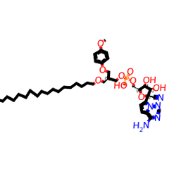 CCCCCCCCCCCCCCCCCCOC[C@@H](COc1ccc(OC)cc1)COP(=O)(O)OC[C@H]1O[C@@](C#N)(c2ccc3c(N)ncnn23)[C@H](O)[C@@H]1O